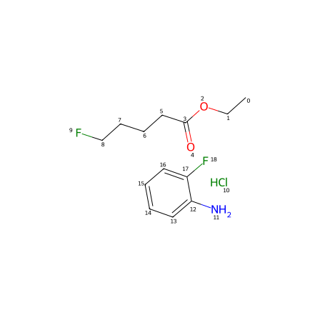 CCOC(=O)CCCCF.Cl.Nc1ccccc1F